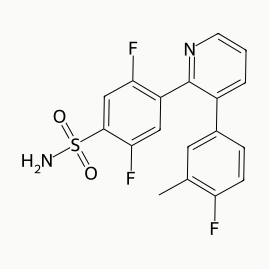 Cc1cc(-c2cccnc2-c2cc(F)c(S(N)(=O)=O)cc2F)ccc1F